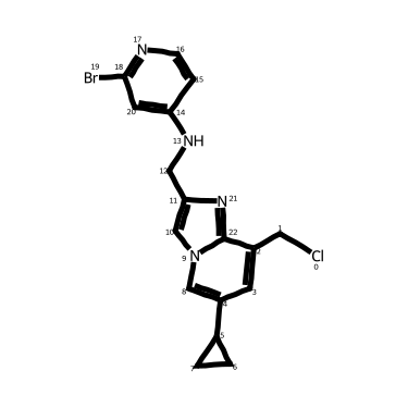 ClCc1cc(C2CC2)cn2cc(CNc3ccnc(Br)c3)nc12